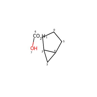 C1CC2CC2C1.O=C(O)O